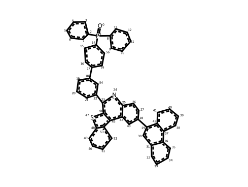 O=P(c1ccccc1)(c1ccccc1)c1ccc(-c2cccc(-c3nc4ccc(-c5cc6ccccc6c6ccccc56)cc4c4c3sc3ccccc34)c2)cc1